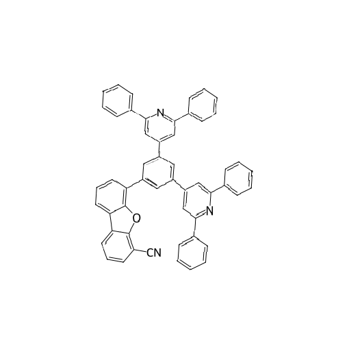 N#Cc1cccc2c1oc1c(-c3cc(-c4cc(-c5ccccc5)nc(-c5ccccc5)c4)cc(-c4cc(-c5ccccc5)nc(-c5ccccc5)c4)c3)cccc12